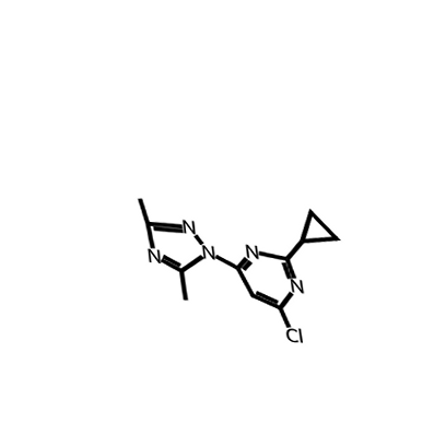 Cc1nc(C)n(-c2cc(Cl)nc(C3CC3)n2)n1